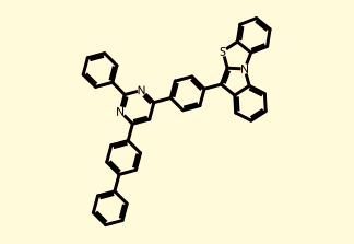 c1ccc(-c2ccc(-c3cc(-c4ccc(-c5c6ccccc6n6c5sc5ccccc56)cc4)nc(-c4ccccc4)n3)cc2)cc1